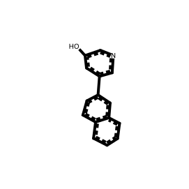 Oc1cncc(-c2ccc3ccccc3c2)c1